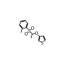 Cc1ccccc1S(=O)(=O)C(C)Oc1ccsc1